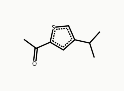 CC(=O)c1cc(C(C)C)cs1